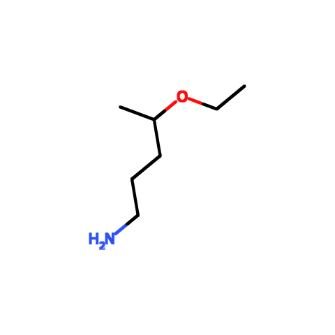 CCOC(C)CCCN